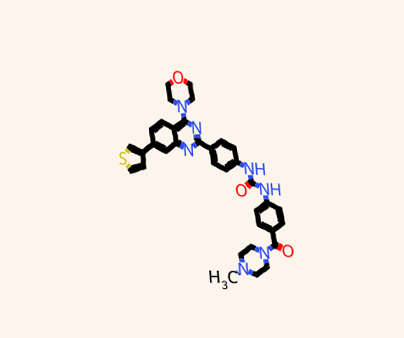 CN1CCN(C(=O)c2ccc(NC(=O)Nc3ccc(-c4nc(N5CCOCC5)c5ccc(-c6ccsc6)cc5n4)cc3)cc2)CC1